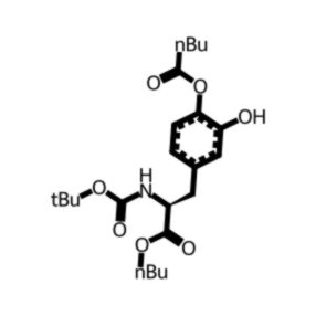 CCCCOC(=O)[C@H](Cc1ccc(OC(=O)CCCC)c(O)c1)NC(=O)OC(C)(C)C